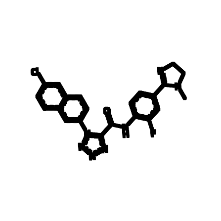 CN1CCN=C1c1ccc(NC(=O)c2nnnn2-c2ccc3cc(Cl)ccc3c2)c(F)c1